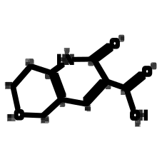 O=C(O)c1cc2c([nH]c1=O)CCOC2